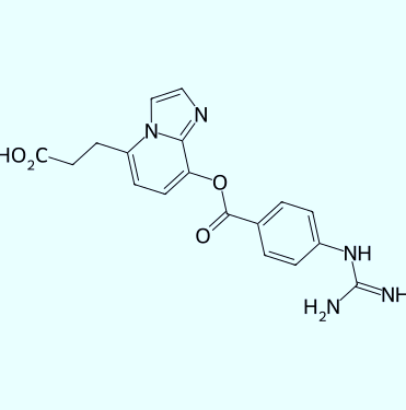 N=C(N)Nc1ccc(C(=O)Oc2ccc(CCC(=O)O)n3ccnc23)cc1